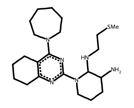 CSCCNC1C(N)CCCN1c1nc2c(c(N3CCCCCC3)n1)CCCC2